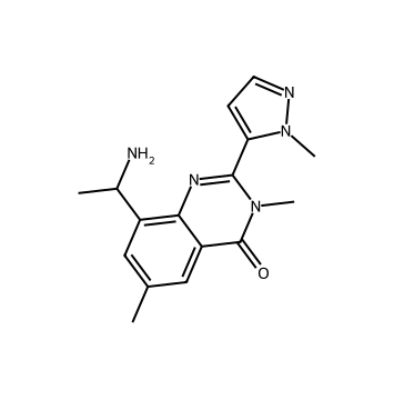 Cc1cc(C(C)N)c2nc(-c3ccnn3C)n(C)c(=O)c2c1